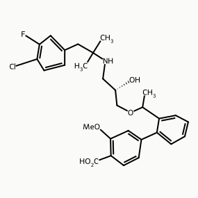 COc1cc(-c2ccccc2C(C)OC[C@@H](O)CNC(C)(C)Cc2ccc(Cl)c(F)c2)ccc1C(=O)O